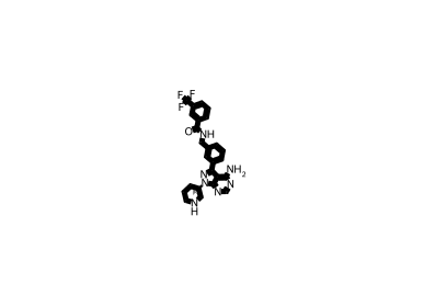 Nc1ncnc2c1c(-c1cccc(CNC(=O)c3cccc(C(F)(F)F)c3)c1)nn2[C@@H]1CCCNC1